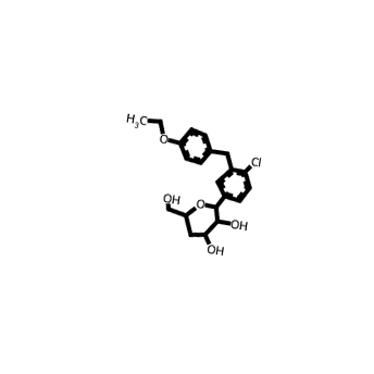 CCOc1ccc(Cc2cc(C3OC(CO)CC(O)C3O)ccc2Cl)cc1